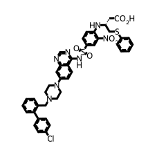 O=C(O)C[C@H](CSc1ccccc1)Nc1ccc(S(=O)(=O)Nc2ncnc3cc(N4CCN(Cc5ccccc5-c5ccc(Cl)cc5)CC4)ccc23)cc1[N+](=O)[O-]